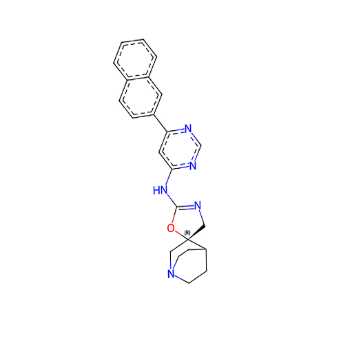 c1ccc2cc(-c3cc(NC4=NC[C@@]5(CN6CCC5CC6)O4)ncn3)ccc2c1